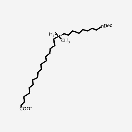 CCCCCCCCCCCCCCCCCC[N+](C)(C)CCCCCCCCCCCCCCCCCC(=O)[O-]